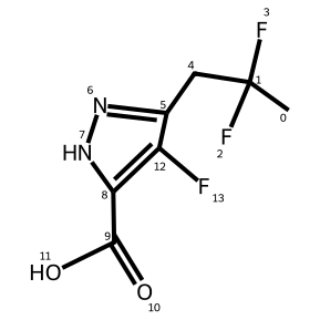 CC(F)(F)Cc1n[nH]c(C(=O)O)c1F